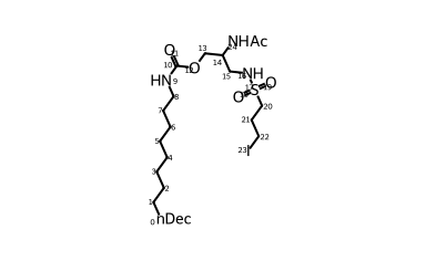 CCCCCCCCCCCCCCCCCCNC(=O)OCC(CNS(=O)(=O)CCCI)NC(C)=O